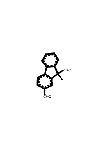 CCCCCCCCC1(C)c2ccccc2-c2ccc(C=O)cc21